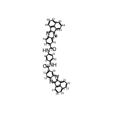 O=C(Nc1ccc(NC(=O)c2ccc3nc4c(nc3c2)-c2cccc3cccc-4c23)cc1)c1ccc2nc3c(nc2c1)-c1cccc2cccc-3c12